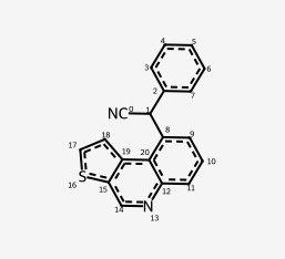 N#CC(c1ccccc1)c1cccc2ncc3sccc3c12